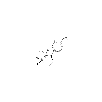 Cc1ccc(N2CCC[C@@H]3NCC[C@@H]32)cn1